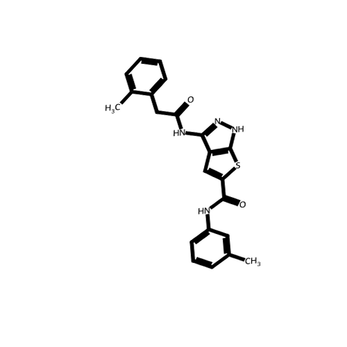 Cc1cccc(NC(=O)c2cc3c(NC(=O)Cc4ccccc4C)n[nH]c3s2)c1